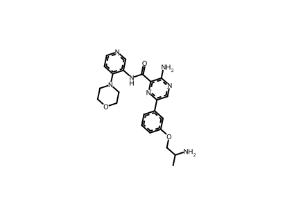 CC(N)COc1cccc(-c2cnc(N)c(C(=O)Nc3cnccc3N3CCOCC3)n2)c1